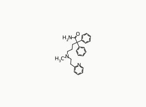 CN(CCCC(C(N)=O)(c1ccccc1)c1ccccc1)CCc1ccccn1